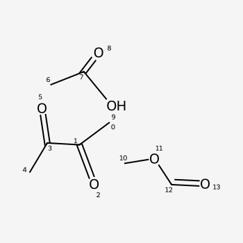 CC(=O)C(C)=O.CC(=O)O.COC=O